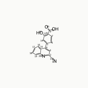 N#Cc1cc(-c2ccc(C(=O)O)c(O)c2)c2ccccc2n1